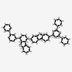 c1ccc(-c2cccc(-c3ccc(-c4ccc5c(c4)sc4cc(-c6nc(-c7ccccc7)nc(-c7ccccc7)n6)ccc45)c4c3oc3ccccc34)c2)cc1